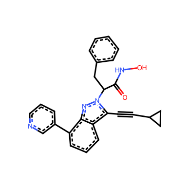 O=C(NO)C(Cc1ccccc1)n1nc2c(-c3cccnc3)cccc2c1C#CC1CC1